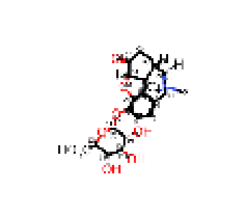 CN1CC[C@]23c4c5ccc(O[C@@H]6O[C@H](C(=O)O)[C@@H](O)[C@H](O)[C@H]6O)c4O[C@H]2C(=O)CC[C@H]3[C@H]1C5